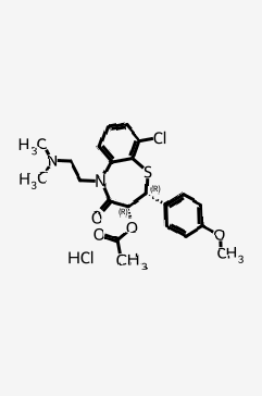 COc1ccc([C@H]2Sc3c(Cl)cccc3N(CCN(C)C)C(=O)[C@H]2OC(C)=O)cc1.Cl